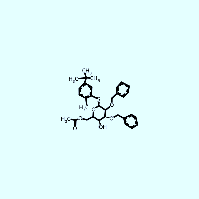 CC(=O)OCC1O[C@@H](Sc2cc(C(C)(C)C)ccc2C)C(OCc2ccccc2)[C@@H](OCc2ccccc2)[C@H]1O